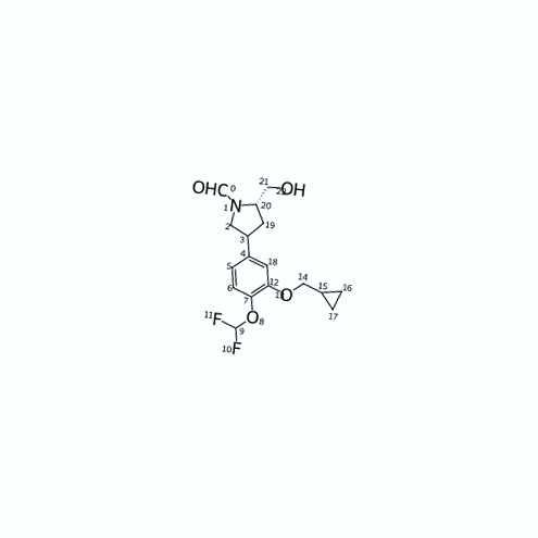 O=CN1CC(c2ccc(OC(F)F)c(OCC3CC3)c2)C[C@H]1CO